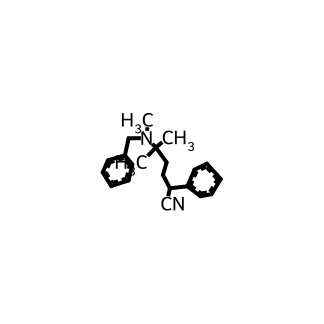 CN(Cc1ccccc1)C(C)(C)CCC(C#N)c1ccccc1